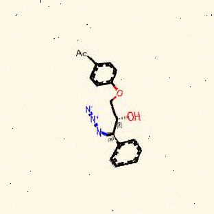 CC(=O)c1ccc(OC[C@H](O)[C@H](N=[N+]=[N-])c2ccccc2)cc1